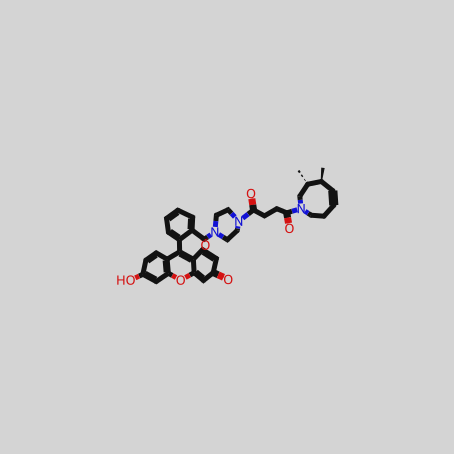 C[C@H]1C#CCCN(C(=O)CCC(=O)N2CCN(C(=O)c3ccccc3-c3c4ccc(=O)cc-4oc4cc(O)ccc34)CC2)C[C@@H]1C